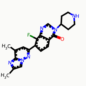 Cc1cn2nc(-c3ccc4c(=O)n(C5CCNCC5)cnc4c3F)cc(C)c2n1